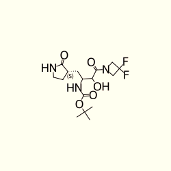 CC(C)(C)OC(=O)NC(C[C@@H]1CCNC1=O)C(O)C(=O)N1CC(F)(F)C1